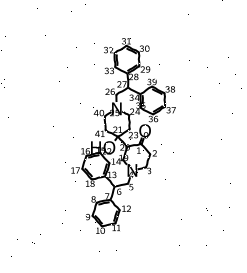 O=C1CCN(CC(c2ccccc2)c2ccccc2)CC1C1(O)CCN(CC(c2ccccc2)c2ccccc2)CC1